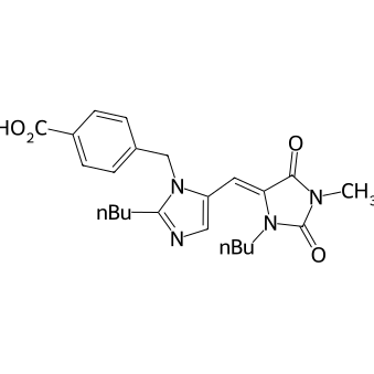 CCCCc1ncc(C=C2C(=O)N(C)C(=O)N2CCCC)n1Cc1ccc(C(=O)O)cc1